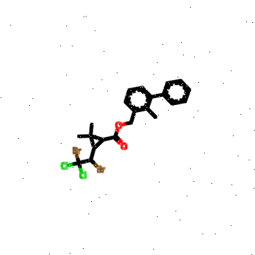 Cc1c(COC(=O)C2C(C(Br)C(Cl)(Cl)Br)C2(C)C)cccc1-c1ccccc1